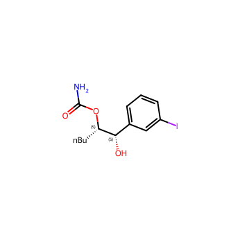 CCCC[C@H](OC(N)=O)[C@@H](O)c1cccc(I)c1